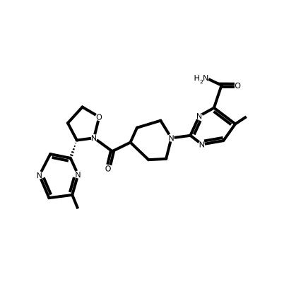 Cc1cncc([C@@H]2CCON2C(=O)C2CCN(c3ncc(C)c(C(N)=O)n3)CC2)n1